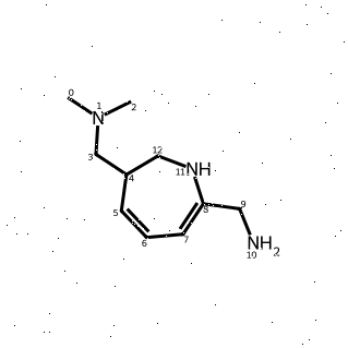 CN(C)CC1C=CC=C(CN)NC1